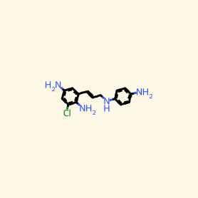 Nc1ccc(NCC=Cc2cc(N)cc(Cl)c2N)cc1